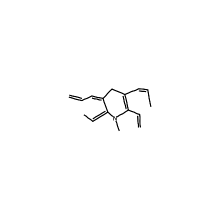 C=C/C=C1/CC(/C=C\C)=C(C=C)N(C)/C1=C/C